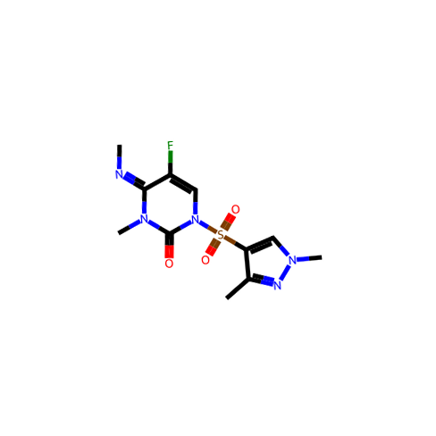 C/N=c1\c(F)cn(S(=O)(=O)c2cn(C)nc2C)c(=O)n1C